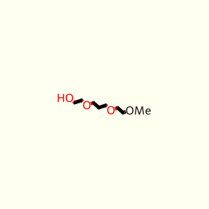 COCCOCCCOCCO